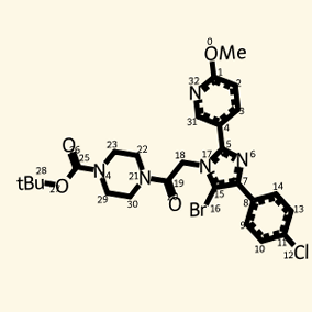 COc1ccc(-c2nc(-c3ccc(Cl)cc3)c(Br)n2CC(=O)N2CCN(C(=O)OC(C)(C)C)CC2)cn1